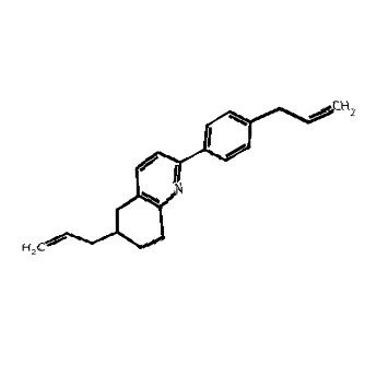 C=CCc1ccc(-c2ccc3c(n2)CCC(CC=C)C3)cc1